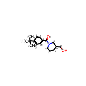 CC(C)(C)c1ccc(C(=O)N2CCCC(CO)C2)cc1